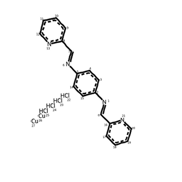 C(=Nc1ccc(N=Cc2ccccn2)cc1)c1ccccn1.Cl.Cl.Cl.Cl.[Cu].[Cu]